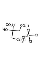 O=C(O)CC(O)(CC(=O)O)C(=O)O.[Cl][Ti]([Cl])([Cl])[Cl]